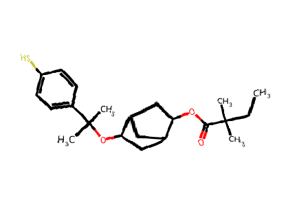 CCC(C)(C)C(=O)OC1CC2CC1CC2OC(C)(C)c1ccc(S)cc1